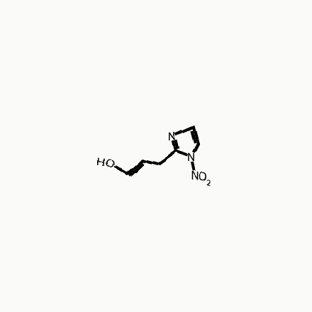 O=[N+]([O-])n1ccnc1CC=CO